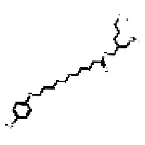 CCCCC(CC)COC(=O)CCCCCCCCCCOc1ccc(C)cc1